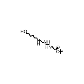 CC(C)(C)OC(=O)CCNCCNCCNCCCCCCO